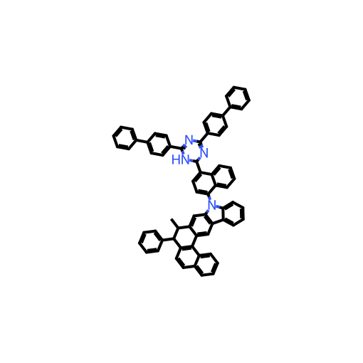 CC1c2cc3c(cc2-c2c(ccc4ccccc24)C1c1ccccc1)c1ccccc1n3-c1ccc(C2N=C(c3ccc(-c4ccccc4)cc3)N=C(c3ccc(-c4ccccc4)cc3)N2)c2ccccc12